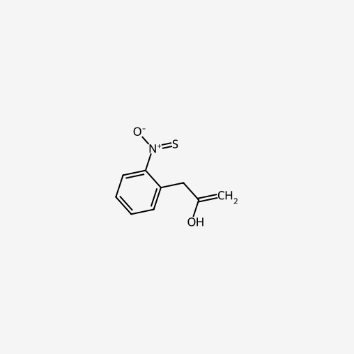 C=C(O)Cc1ccccc1[N+]([O-])=S